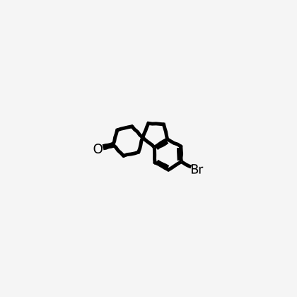 O=C1CCC2(CC1)CCc1cc(Br)ccc12